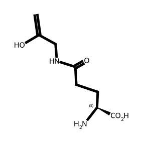 C=C(O)CNC(=O)CC[C@H](N)C(=O)O